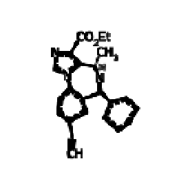 C#Cc1ccc2c(c1)C(c1ccccc1)=N[C@@H](C)c1c(C(=O)OCC)ncn1-2